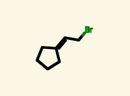 BrCC=C1CCCC1